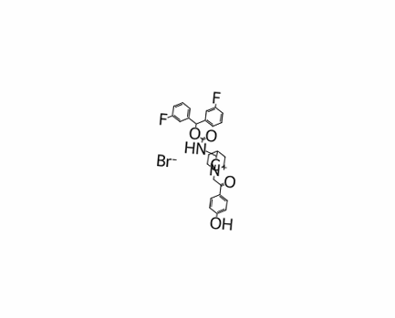 O=C(NC1C[N+]2(CC(=O)c3ccc(O)cc3)CCC1CC2)OC(c1cccc(F)c1)c1cccc(F)c1.[Br-]